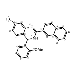 COc1cccnc1[C@@H](NC(=O)c1ccc2cccnc2c1)c1ccc(C(F)(F)F)cc1